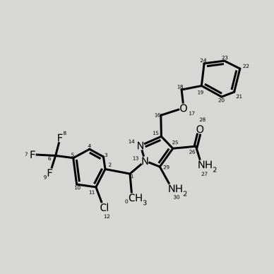 CC(c1ccc(C(F)(F)F)cc1Cl)n1nc(COCc2ccccc2)c(C(N)=O)c1N